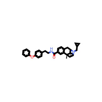 C[C@H]1C2Cc3ccc(C(=O)NCCc4ccc(Oc5ccccc5)cc4)cc3[C@@]1(C)CCN2CC1CC1